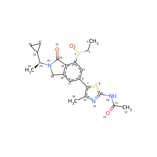 CC[S+]([O-])c1cc(-c2sc(NC(C)=O)nc2C)cc2c1C(=O)N([C@@H](C)C1CC1)C2